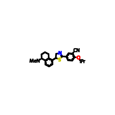 CN[C@H]1CCCc2c(C3CN=C(c4ccc(OC(C)C)c(C#N)c4)S3)cccc21